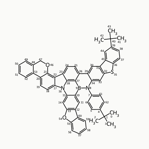 CC(C)(C)c1ccc(N2B3c4cc5c(cc4-n4c6ccc7c(c6c6ccc(c3c64)-c3cc4c(cc32)sc2ccc(C(C)(C)C)cc24)OCc2ccccc2-7)oc2ccccc25)cc1